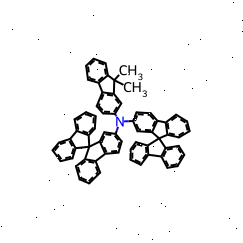 CC1(C)c2ccccc2-c2ccc(N(c3ccc4c(c3)C3(c5ccccc5-c5ccccc53)c3ccccc3-4)c3ccc4c(c3)C3(c5ccccc5-c5ccccc53)c3ccccc3-4)cc21